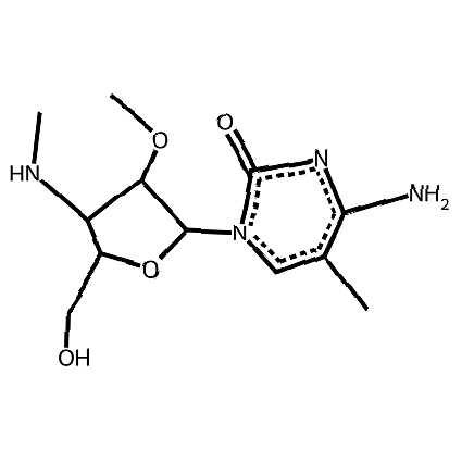 CNC1C(CO)OC(n2cc(C)c(N)nc2=O)C1OC